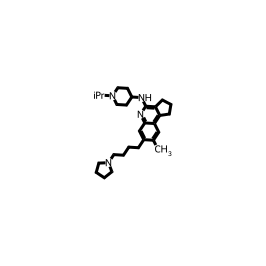 Cc1cc2c3c(c(NC4CCN(C(C)C)CC4)nc2cc1CCCCN1CCCC1)CCC3